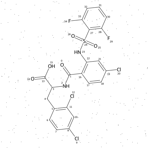 O=C(NC(Cc1ccc(Cl)cc1Cl)C(=O)O)c1ccc(Cl)cc1NS(=O)(=O)c1c(F)cccc1F